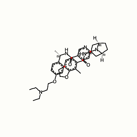 CCN(CC)CCOc1ccc([C@H](C)NC(=O)c2ccc(N3[C@@H]4CC[C@H]3C[C@@H](NC(=O)c3ccc5c(c3C)OCC5)C4)nc2)cc1